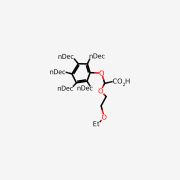 CCCCCCCCCCc1c(CCCCCCCCCC)c(CCCCCCCCCC)c(OC(OCCOCC)C(=O)O)c(CCCCCCCCCC)c1CCCCCCCCCC